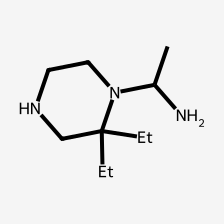 CCC1(CC)CNCCN1C(C)N